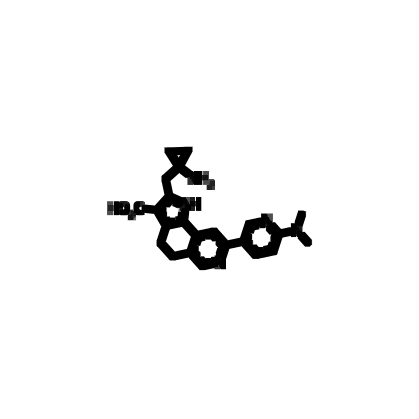 CN(C)c1ccc(-c2cc3c(cn2)CCc2c-3[nH]c(CC3(N)CC3)c2C(=O)O)cn1